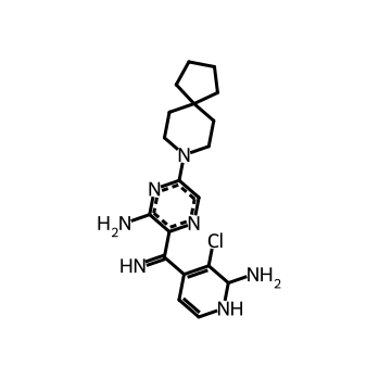 N=C(C1=C(Cl)C(N)NC=C1)c1ncc(N2CCC3(CCCC3)CC2)nc1N